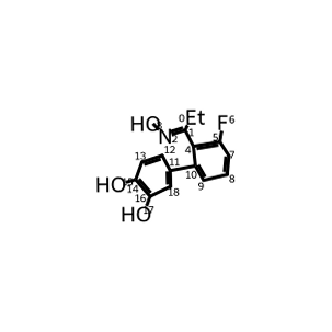 CCC(=NO)c1c(F)cccc1-c1ccc(O)c(O)c1